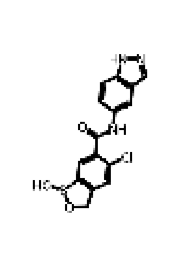 O=C(Nc1ccc2[nH]ncc2c1)c1cc2c(cc1Cl)COB2O